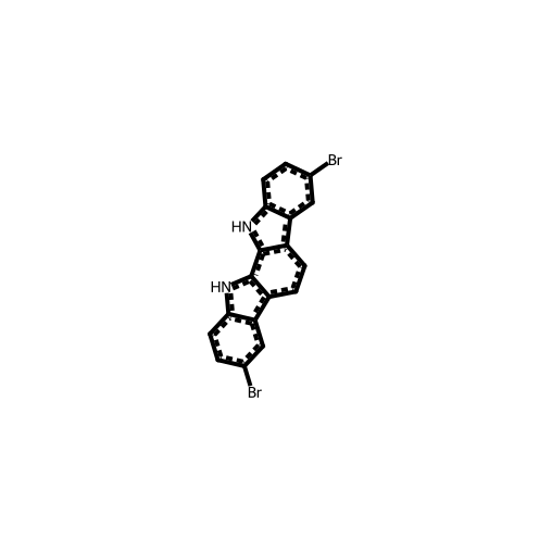 Brc1ccc2[nH]c3c(ccc4c5cc(Br)ccc5[nH]c43)c2c1